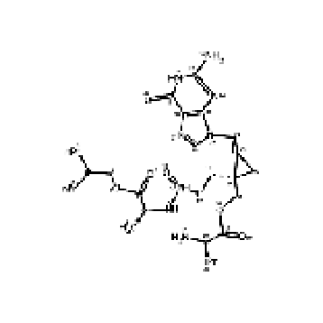 CCCC(CCC)COC(=O)[C@H](C)N[PH](=O)OC[C@@]1(COC(=O)[C@H](N)C(C)C)C/C1=C/n1cnc2c(=O)[nH]c(N)nc21